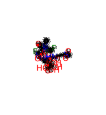 C[C@H](O)C(=O)C(C[C@@H]1CN(C(=O)OCc2ccc(O[C@@H]3O[C@H](C(=O)O)[C@@H](O)[C@H](O)[C@H]3O)c(NC(=O)CCNC(=O)CCCCCN3C(=O)C=CC3=O)c2)C[C@@H]1F)C(c1nc(-c2cc(F)ccc2F)cn1Cc1ccccc1)C1CCOCC1